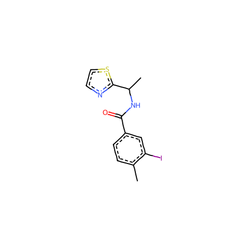 Cc1ccc(C(=O)NC(C)c2nccs2)cc1I